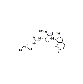 N=C(NCC(=O)NC[C@@H](O)CO)C(=N\O)/C(=N/O)NC1CCc2ccc(F)c(F)c21